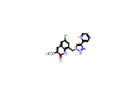 O=C(O)c1cc2cc(Cl)cc(Cn3cc(-c4ccccn4)nn3)c2[nH]c1=O